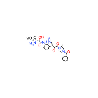 C[C@@H]1CN(C(=O)c2ccccc2)CCN1C(=O)C(=O)c1c[nH]c2c(NC(=O)C(O)C(N)C(=O)O)cccc12